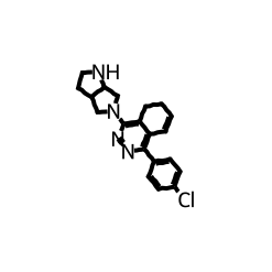 Clc1ccc(-c2nnc(N3CC4CCNC4C3)c3c2C=CCC3)cc1